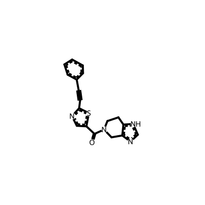 O=C(c1cnc(C#Cc2ccccc2)s1)N1CCc2[nH]cnc2C1